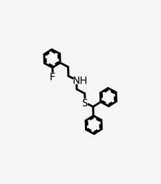 Fc1ccccc1CCNCCSC(c1ccccc1)c1ccccc1